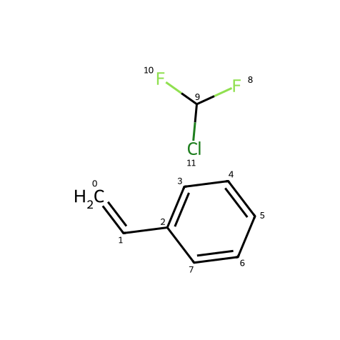 C=Cc1ccccc1.FC(F)Cl